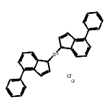 C1=C[CH]([Zr+2][CH]2C=Cc3c(-c4ccccc4)cccc32)c2cccc(-c3ccccc3)c21.[Cl-].[Cl-]